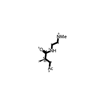 CNCCNC(=O)[C@H](C)CC(C)=O